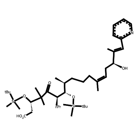 CCC[C@@H](C(=O)C(C)(C)[C@H](CC(=O)O)O[Si](C)(C)C(C)(C)C)[C@@H](O[Si](C)(C)C(C)(C)C)[C@@H](C)CCC/C(C)=C\C[C@H](O)/C(C)=C/c1ccccn1